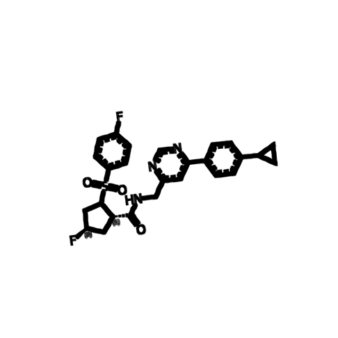 O=C(NCc1cc(-c2ccc(C3CC3)cc2)ncn1)[C@@H]1C[C@@H](F)CC1S(=O)(=O)c1ccc(F)cc1